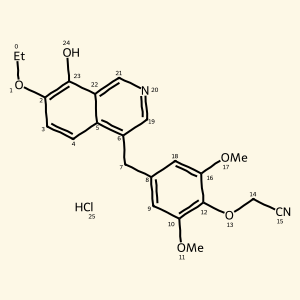 CCOc1ccc2c(Cc3cc(OC)c(OCC#N)c(OC)c3)cncc2c1O.Cl